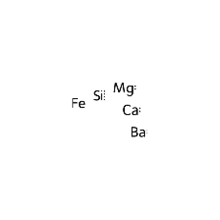 [Ba].[Ca].[Fe].[Mg].[Si]